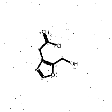 C=C(Cl)Cc1ccoc1CO